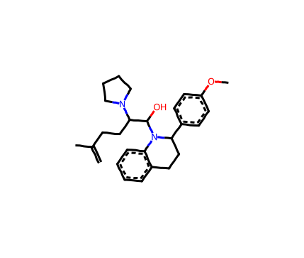 C=C(C)CCC(C(O)N1c2ccccc2CCC1c1ccc(OC)cc1)N1CCCC1